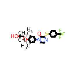 Cc1cc(-n2ccnc(Sc3ccc(C(F)(F)F)cc3)c2=O)cc(C)c1OCC(C)(C)O